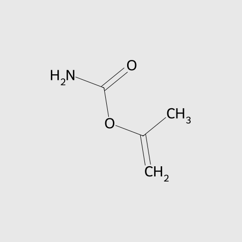 C=C(C)OC(N)=O